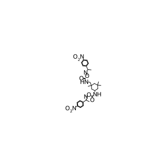 C/C(=N\OC(=O)NCC1(C)CC(NC(=O)O/N=C(\C)c2ccc([N+](=O)[O-])cc2)CC(C)(C)C1)c1ccc([N+](=O)[O-])cc1